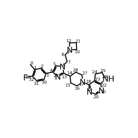 Cc1cc(-c2cn(CCN3CCC3)c(C3CCN(c4ncnc5c4CCN5)CC3)n2)ccc1F